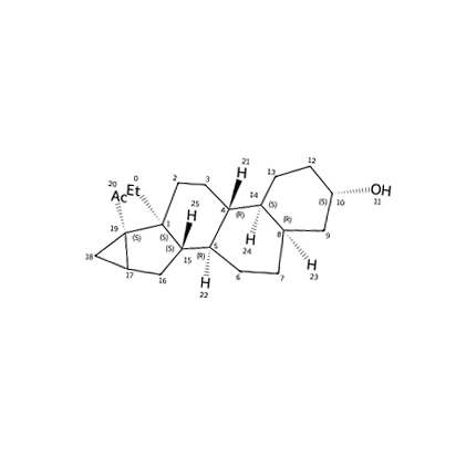 CC[C@]12CC[C@H]3[C@@H](CC[C@@H]4C[C@@H](O)CC[C@@H]43)[C@@H]1CC1C[C@]12C(C)=O